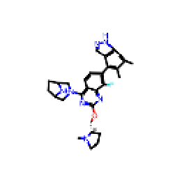 Cc1cc2[nH]ncc2c(-c2ccc3c(N4CC5CCC(C4)N5)nc(OC[C@@H]4CCCN4C)nc3c2F)c1C